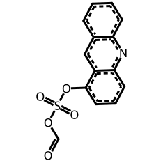 O=COS(=O)(=O)Oc1cccc2nc3ccccc3cc12